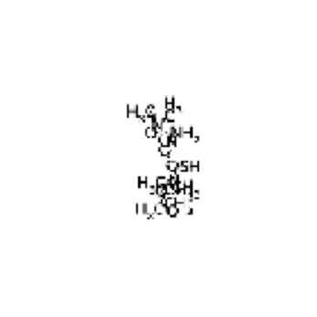 CCCN(CCC)C(=O)C1=Cc2ccc(-c3ccc(CN(C)CC(C)(C)OCCC(C)(C)C=O)c(S)c3)cc2N=C(N)C1